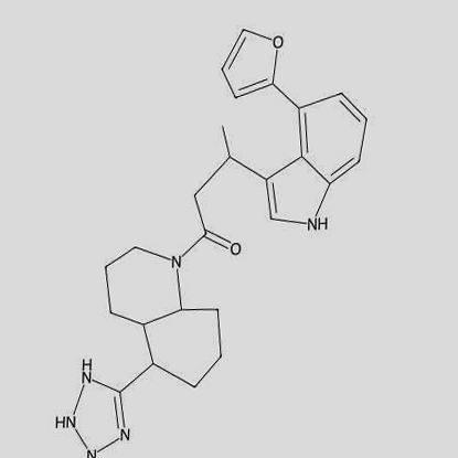 CC(CC(=O)N1CCCC2C(C3=NNNN3)CCCC21)c1c[nH]c2cccc(-c3ccco3)c12